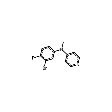 CN(c1ccncc1)c1ccc(F)c(Br)c1